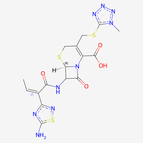 C/C=C(\C(=O)NC1C(=O)N2C(C(=O)O)=C(CSc3nnnn3C)CS[C@H]12)c1nsc(N)n1